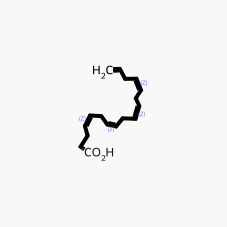 C=CC/C=C\C/C=C\C/C=C\C/C=C\CCC(=O)O